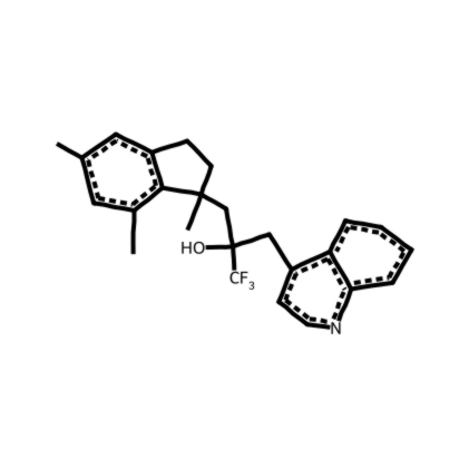 Cc1cc(C)c2c(c1)CCC2(C)CC(O)(Cc1ccnc2ccccc12)C(F)(F)F